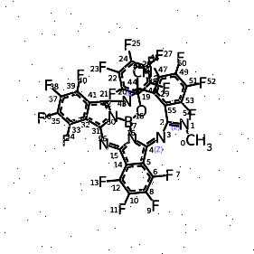 C/N=C1\N=c2\c3c(F)c(F)c(F)c(F)c3c3n2B(Oc2c(F)c(F)c(F)c(F)c2F)n2c(c4c(F)c(F)c(F)c(F)c4c2/N=C(\C)c2c(F)c(F)c(F)c(F)c21)N=3